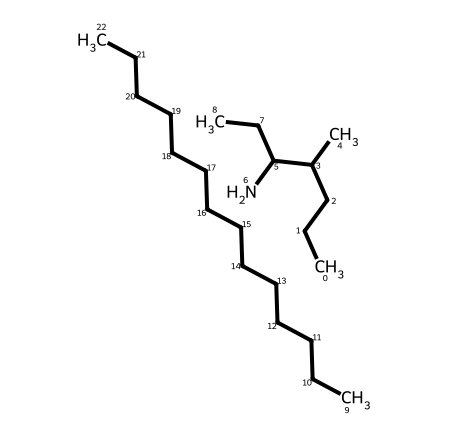 CCCC(C)C(N)CC.CCCCCCCCCCCCCC